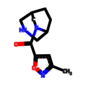 Cc1cc(C(=O)N2CC3CCC2CNC3)on1